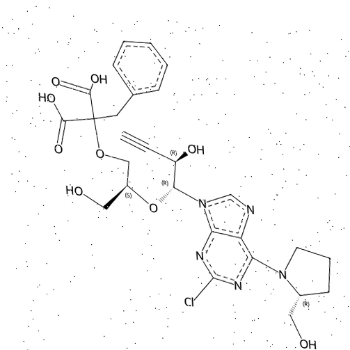 C#C[C@@H](O)[C@@H](O[C@@H](CO)COC(Cc1ccccc1)(C(=O)O)C(=O)O)n1cnc2c(N3CCC[C@@H]3CO)nc(Cl)nc21